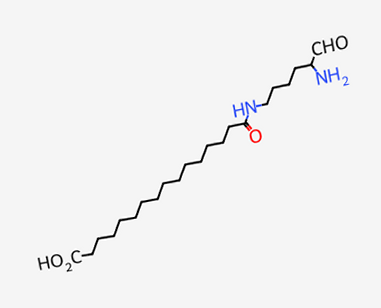 NC(C=O)CCCCNC(=O)CCCCCCCCCCCCCCC(=O)O